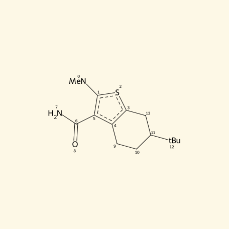 CNc1sc2c(c1C(N)=O)CCC(C(C)(C)C)C2